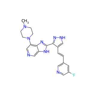 CN1CCN(c2cncc3[nH]c(-c4n[nH]cc4C=Cc4cncc(F)c4)nc23)CC1